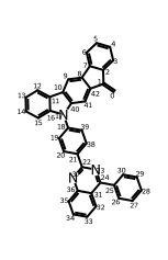 C=C1c2ccccc2-c2cc3c4ccccc4n(-c4ccc(-c5nc(-c6ccccc6)c6ccccc6n5)cc4)c3cc21